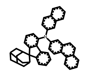 c1ccc2c(c1)-c1c(N(c3ccc4ccccc4c3)c3ccc4c(ccc5ccccc54)c3)cccc1C21C2CC3CC(C2)CC1C3